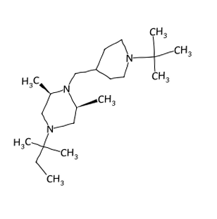 CCC(C)(C)N1C[C@@H](C)N(CC2CCN(C(C)(C)C)CC2)[C@@H](C)C1